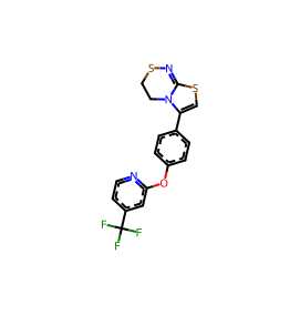 FC(F)(F)c1ccnc(Oc2ccc(C3=CSC4=NSCCN34)cc2)c1